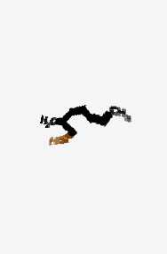 C=C(/C=C\C=C/C)CS